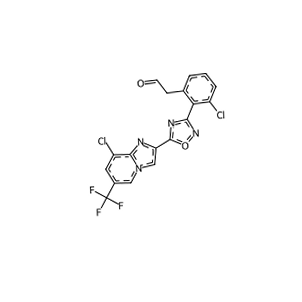 O=CCc1cccc(Cl)c1-c1noc(-c2cn3cc(C(F)(F)F)cc(Cl)c3n2)n1